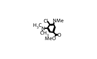 CNc1cc(C(=O)OC)cc(N(C)C)c1Cl